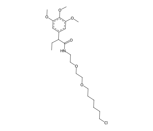 CCC(C(=O)NCCOCCOCCCCCCCl)c1cc(OC)c(OC)c(OC)c1